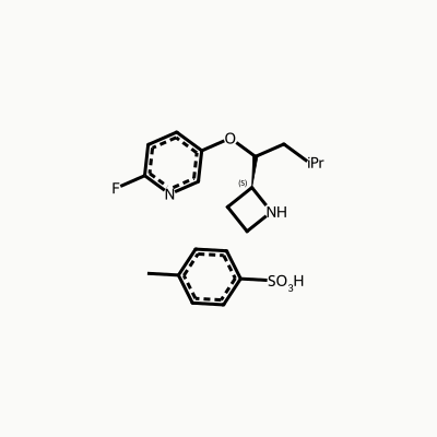 CC(C)CC(Oc1ccc(F)nc1)[C@@H]1CCN1.Cc1ccc(S(=O)(=O)O)cc1